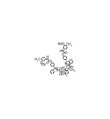 Cc1ccc(NC(=O)Oc2ccc(/C(=N/OC(=O)NC(C)(C)c3cccc(C(C)(C)NC(=O)O/N=C(\c4ccccc4)c4ccc(OC(=O)Nc5ccc(C)c(OC#N)c5)cc4)c3)c3ccccc3)cc2)cc1OC#N